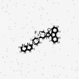 O=C(NCC(F)(F)F)C1(CCCCN2CCN(c3ccc4cccnc4n3)CC2)c2ccccc2-c2ccccc21